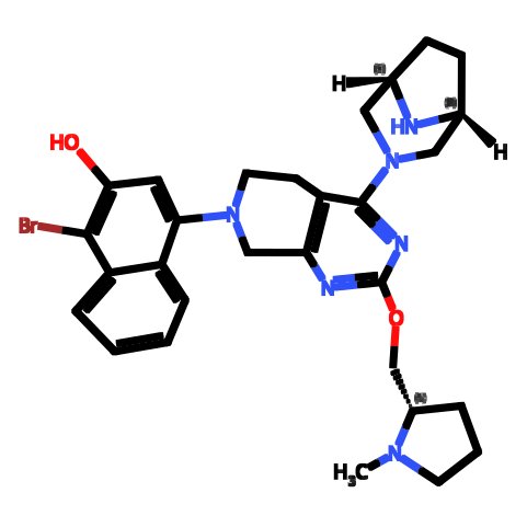 CN1CCC[C@H]1COc1nc2c(c(N3C[C@H]4CC[C@@H](C3)N4)n1)CCN(c1cc(O)c(Br)c3ccccc13)C2